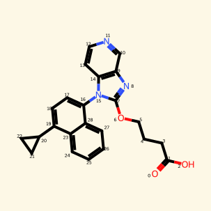 O=C(O)CCCOc1nc2cnccc2n1-c1ccc(C2CC2)c2ccccc12